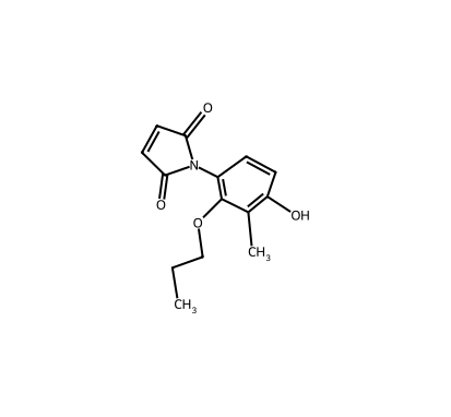 CCCOc1c(N2C(=O)C=CC2=O)ccc(O)c1C